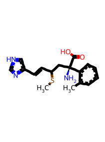 CSC(C=Cc1c[nH]cn1)C[C@](N)(C(=O)O)c1ccccc1C